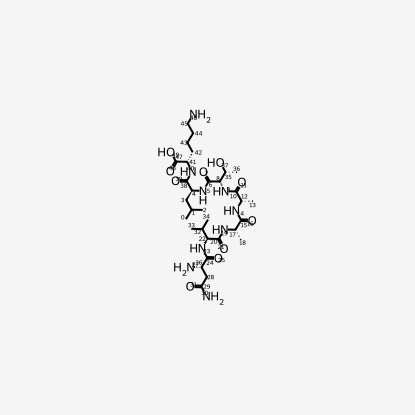 CC(C)C[C@H](NC(=O)[C@@H](NC(=O)[C@H](C)NC(=O)[C@H](C)NC(=O)[C@@H](NC(=O)[C@@H](N)CC(N)=O)C(C)C)[C@@H](C)O)C(=O)N[C@@H](CCCCN)C(=O)O